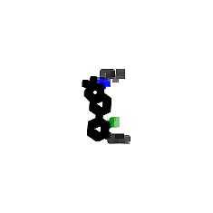 COc1cccc(-c2ccc3c(c2)CC(C)(C)C3NC(=O)O)c1Cl